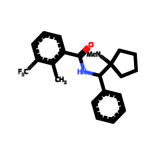 CNC1(C(NC(=O)c2cccc(C(F)(F)F)c2C)c2ccccc2)CCCC1